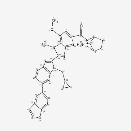 COc1cc(C(=O)N2CC3CCC2C3N)cc2nc(-c3cc4ccc(-c5ccc6occc6c5)nc4n3CC3CC3)n(C)c12